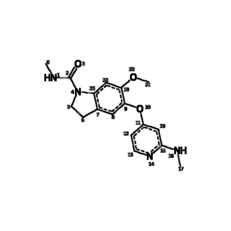 CNC(=O)N1CCc2cc(Oc3ccnc(NC)c3)c(OC)cc21